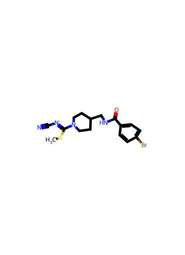 CSC(=NC#N)N1CCC(CNC(=O)c2ccc(Br)cc2)CC1